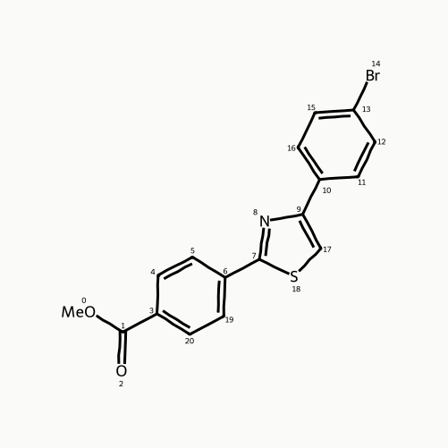 COC(=O)c1ccc(-c2nc(-c3ccc(Br)cc3)cs2)cc1